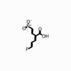 O=C(O)C(/C=C/[N+](=O)[O-])=C/C=C/F